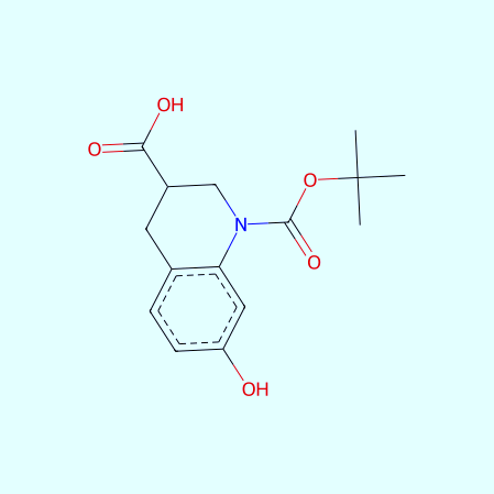 CC(C)(C)OC(=O)N1CC(C(=O)O)Cc2ccc(O)cc21